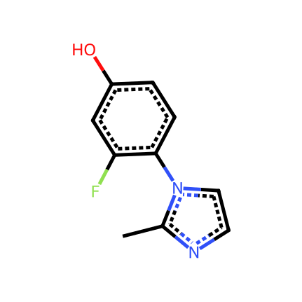 Cc1nccn1-c1ccc(O)cc1F